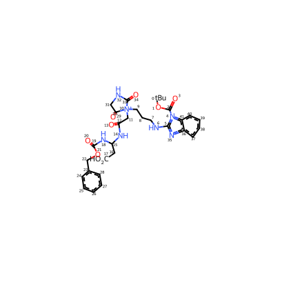 CC(C)(C)OC(=O)n1c(NCCC[N+]2(CC(=O)NC(CC(=O)O)NC(=O)OCc3ccccc3)C(=O)CNC2=O)nc2ccccc21